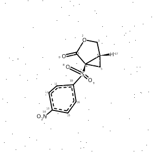 O=C1OC[C@@H]2C[C@]12S(=O)(=O)c1ccc([N+](=O)[O-])cc1